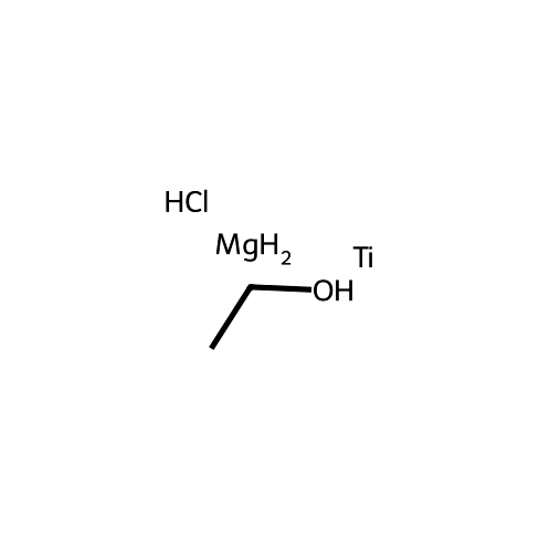 CCO.Cl.[MgH2].[Ti]